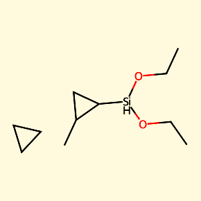 C1CC1.CCO[SiH](OCC)C1CC1C